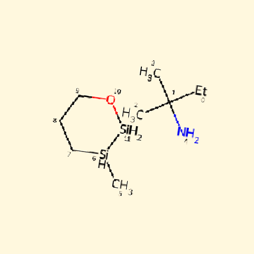 CCC(C)(C)N.C[SiH]1CCCO[SiH2]1